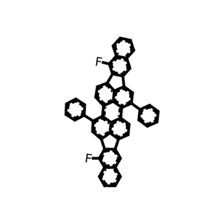 Fc1c2c(cc3ccccc13)-c1cc(-c3ccccc3)c3c4ccc5c6c(cc(-c7ccccc7)c(c7ccc-2c1c73)c64)-c1c-5cc2ccccc2c1F